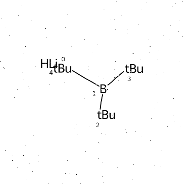 CC(C)(C)B(C(C)(C)C)C(C)(C)C.[LiH]